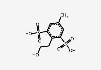 Cc1cc(S(=O)(=O)O)c(CCO)c(S(=O)(=O)O)c1